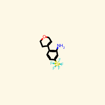 Nc1cc(S(F)(F)(F)(F)F)ccc1C1=CCOCC1